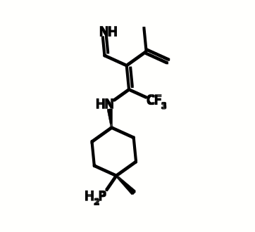 C=C(C)/C(C=N)=C(/N[C@H]1CC[C@](C)(P)CC1)C(F)(F)F